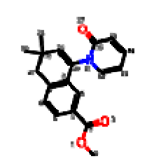 COC(=O)c1ccc2c(c1)C(n1ccccc1=O)=CC(C)(C)C2